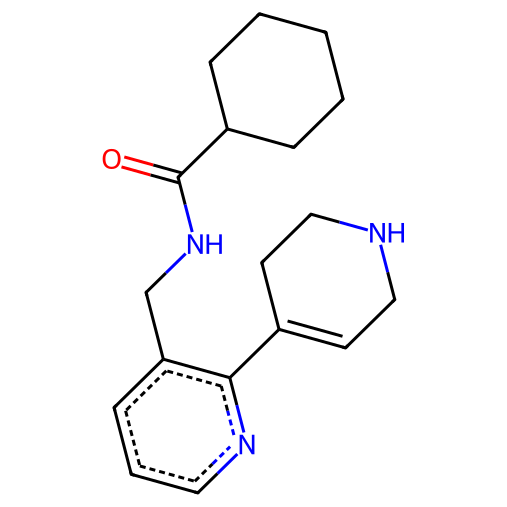 O=C(NCc1cccnc1C1=CCNCC1)C1CCCCC1